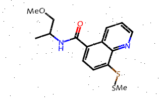 COCC(C)NC(=O)c1ccc(SSC)c2ncccc12